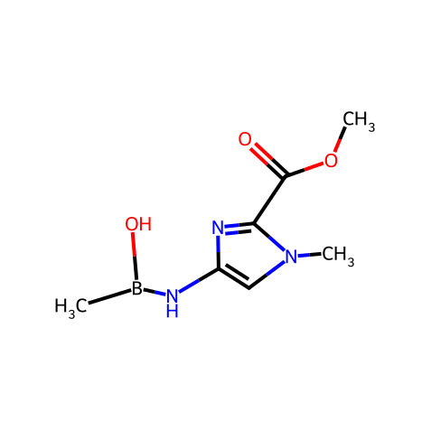 COC(=O)c1nc(NB(C)O)cn1C